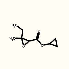 CCC1(C)OC1C(=O)OC1CC1